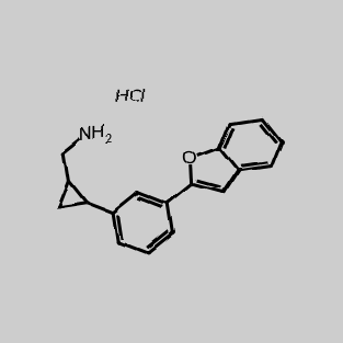 Cl.NCC1CC1c1cccc(-c2cc3ccccc3o2)c1